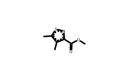 COC(=O)c1nsc(C)c1C